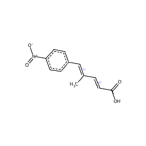 CC(/C=C/C(=O)O)=C\c1ccc([N+](=O)[O-])cc1